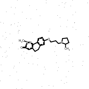 CC1CCCN1CCCOc1ccc2c(c1)CCc1cc(=O)n(C)nc1-2